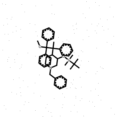 COC(c1ccccc1)(c1ccccc1)C(C)(c1ccccc1)C1CCN(Cc2ccccc2)CC1O[Si](C)(C)C(C)(C)C